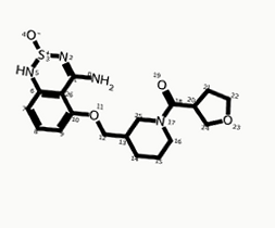 NC1=N[S+]([O-])Nc2cccc(OCC3CCCN(C(=O)C4CCOC4)C3)c21